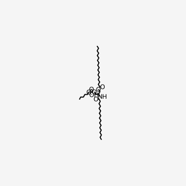 CCCCCCCCCCCCCCCCCC(=O)NC(COC(=O)CCCCCCCCCCCCCCCCC)COP(=O)(O)OCCCCC